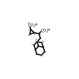 O=C(O)C(CCC1C2CCCC1CCC2)C1CC1C(=O)O